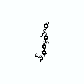 CCCC(OCC1CCC2OC2C1)Oc1ccc(C(=O)Oc2ccc(-c3ccc(OC(CCC)OCC4CO4)cc3)cc2)cc1